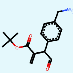 C=C(C(=O)OC(C)(C)C)C(C=O)c1ccc(CN)cc1